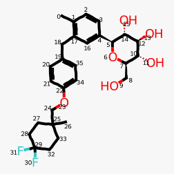 Cc1ccc([C@@H]2O[C@H](CO)[C@@H](O)[C@H](O)[C@H]2O)cc1Cc1ccc(OCC2(C)CCC(F)(F)CC2)cc1